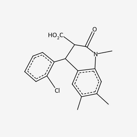 Cc1cc2c(cc1C)N(C)C(=O)C(C(=O)O)C2c1ccccc1Cl